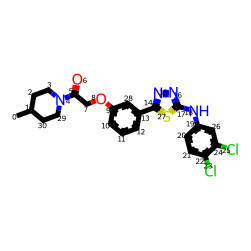 CC1CCN(C(=O)COc2cccc(-c3nnc(Nc4ccc(Cl)c(Cl)c4)s3)c2)CC1